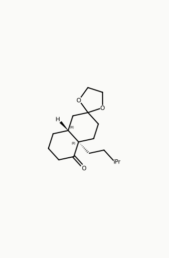 CC(C)CC[C@@]12CCC3(C[C@H]1CCCC2=O)OCCO3